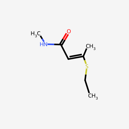 CCSC(C)=CC(=O)NC